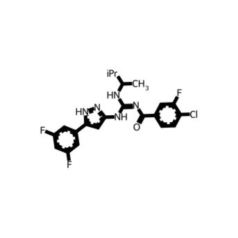 CC(C)C(C)N/C(=N/C(=O)c1ccc(Cl)c(F)c1)Nc1cc(-c2cc(F)cc(F)c2)[nH]n1